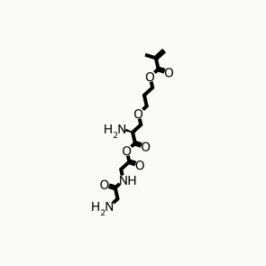 C=C(C)C(=O)OCCCOC[C@H](N)C(=O)OC(=O)CNC(=O)CN